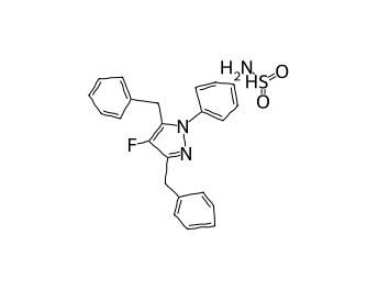 Fc1c(Cc2ccccc2)nn(-c2ccccc2)c1Cc1ccccc1.N[SH](=O)=O